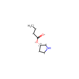 CCCC(=O)O[C@H]1CCNC1